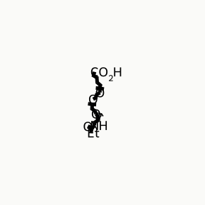 CCC(=O)NCCP(C)OCCC(C)(C)OCCOC(C)(C)CCCCC(=O)O